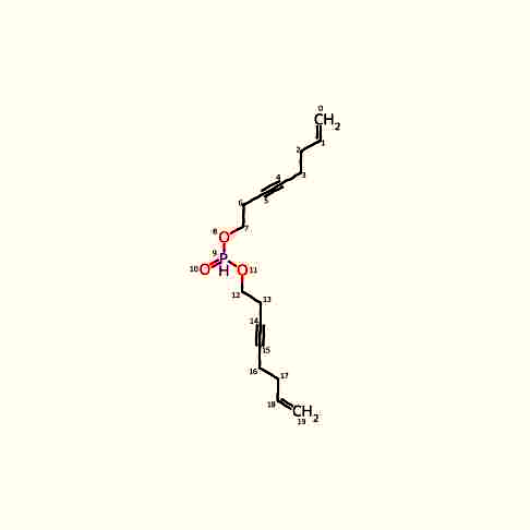 C=CCCC#CCCO[PH](=O)OCCC#CCCC=C